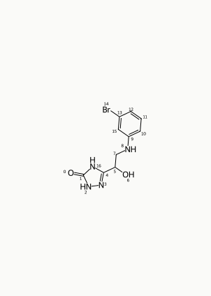 O=c1[nH]nc(C(O)CNc2cccc(Br)c2)[nH]1